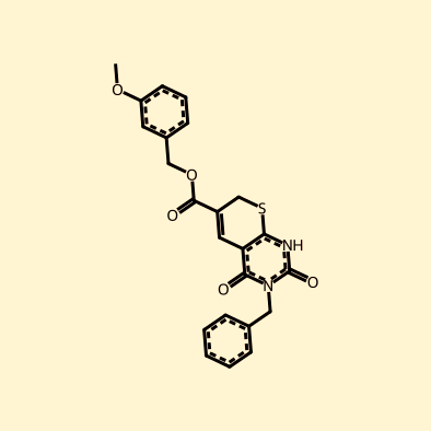 COc1cccc(COC(=O)C2=Cc3c([nH]c(=O)n(Cc4ccccc4)c3=O)SC2)c1